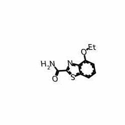 CCOc1cccc2sc(C(N)=O)nc12